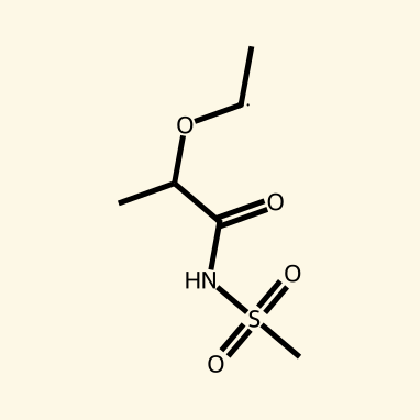 C[CH]OC(C)C(=O)NS(C)(=O)=O